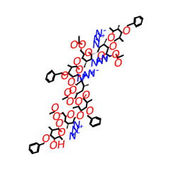 CC(=O)OCC1OC([C@H]2OC(COC(C)=O)[C@@H](O[C@@H]3OC(C)[C@@H](C)[C@@H](OCc4ccccc4)C3C)[C@H](C)C2N=[N+]=[N-])C(N=[N+]=[N-])[C@@H](C)[C@@H]1O[C@@H]1OC(C)C(O[C@H]2OC(COC(C)=O)[C@@H](O[C@@H]3OC(C)C(O[C@H]4OC(COC(C)=O)[C@@H](O[C@@H]5OC(C)C(O)[C@@H](OCc6ccccc6)C5C)[C@H](C)C4N=[N+]=[N-])[C@@H](OCc4ccccc4)C3C)[C@H](C)C2N=[N+]=[N-])[C@@H](OCc2ccccc2)C1C